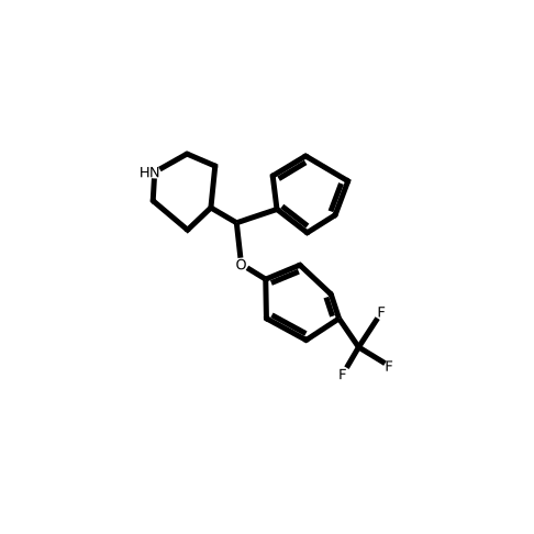 FC(F)(F)c1ccc(OC(c2ccccc2)C2CCNCC2)cc1